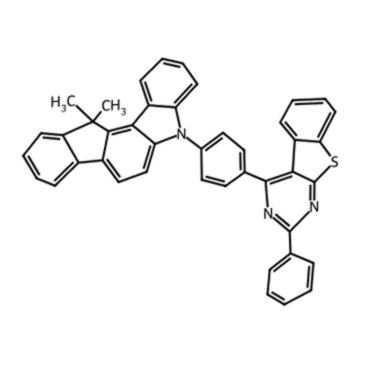 CC1(C)c2ccccc2-c2ccc3c(c21)c1ccccc1n3-c1ccc(-c2nc(-c3ccccc3)nc3sc4ccccc4c23)cc1